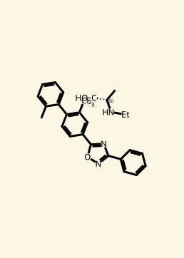 CCN[C@@H](C)C(=O)O.Cc1ccccc1-c1ccc(-c2nc(-c3ccccc3)no2)cc1C(F)(F)F